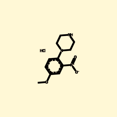 COc1ccc(N2CCNCC2)c([N+](=O)[O-])c1.Cl